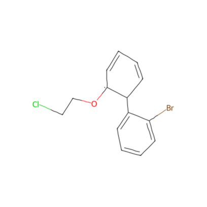 ClCCO[C]1C=CC=CC1c1ccccc1Br